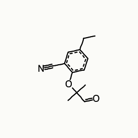 CCc1ccc(OC(C)(C)C=O)c(C#N)c1